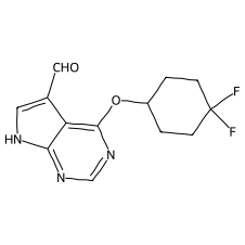 O=Cc1c[nH]c2ncnc(OC3CCC(F)(F)CC3)c12